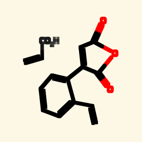 C=CC(=O)O.C=Cc1ccccc1C1=CC(=O)OC1=O